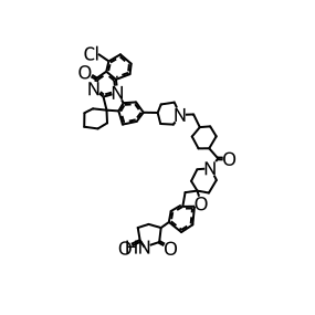 O=C1CCC(c2ccc3c(c2)CC2(CCN(C(=O)C4CCC(CN5CCC(c6ccc7c(c6)-n6c(nc(=O)c8c(Cl)cccc86)C76CCCCC6)CC5)CC4)CC2)O3)C(=O)N1